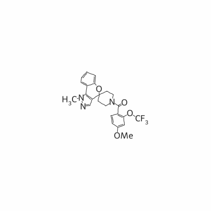 COc1ccc(C(=O)N2CCC3(CC2)Oc2ccccc2-c2c3cnn2C)c(OC(F)(F)F)c1